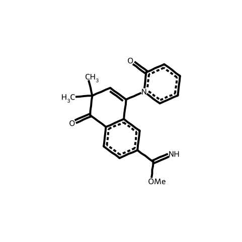 COC(=N)c1ccc2c(c1)C(n1ccccc1=O)=CC(C)(C)C2=O